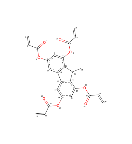 C=CC(=O)Oc1cc(OC(=O)C=C)c2c(c1)-c1cc(OC(=O)C=C)cc(OC(=O)C=C)c1C2C